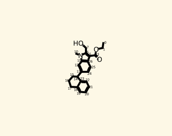 CCOC(=O)c1c(CO)n(C)c2cc(C3CCCc4ccccc43)ccc12